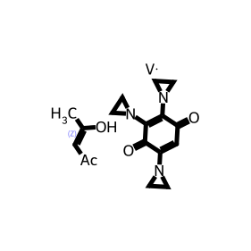 CC(=O)/C=C(/C)O.O=C1C=C(N2CC2)C(=O)C(N2CC2)=C1N1CC1.[V]